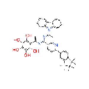 C=C(/N=C(\N=C(/C)n1c2ccccc2c2ccccc21)c1ccc(-c2ccc3c(c2)C(C)(C)C(C)(C)C3(C)C)nc1)c1c(O)c(O)c(O)c(O)c1O